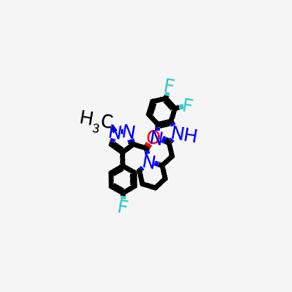 Cn1cc(-c2ccc(F)cc2)c(C(=O)N2CCCCC2Cc2nc3ccc(F)c(F)c3[nH]2)n1